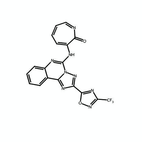 O=c1nccccc1Nc1nc2ccccc2c2nc(-c3nc(C(F)(F)F)no3)nn12